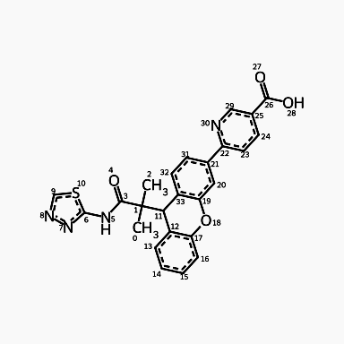 CC(C)(C(=O)Nc1nncs1)C1c2ccccc2Oc2cc(-c3ccc(C(=O)O)cn3)ccc21